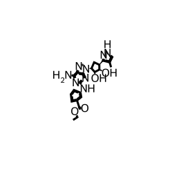 CCOC(=O)c1cccc(Nc2nc(N)c3ncn([C@@H]4C[C@@H](c5n[nH]cc5C)[C@@H](O)[C@H]4O)c3n2)c1